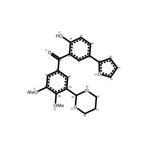 COc1cc(C(=O)c2cc(-c3ccco3)ccc2O)cc(C2OCCCO2)c1OC